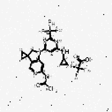 CC(=O)Nc1cc2c(cn1)C1(CC1)CN2c1cc(NC2CC2)nc(C(C)(F)F)n1.O=C(O)C(F)(F)F